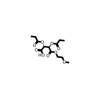 CCC(=O)O[C@@H](C(=O)O)[C@@H](OC(=O)CC)C(=O)OCCOC